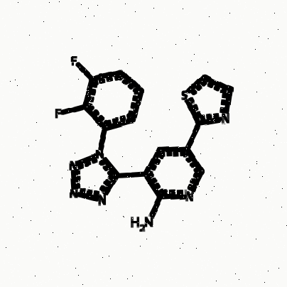 Nc1ncc(-c2nccs2)cc1-c1nnnn1-c1cccc(F)c1F